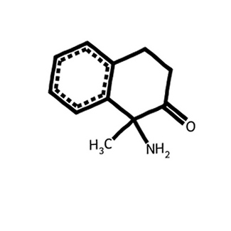 CC1(N)C(=O)CCc2ccccc21